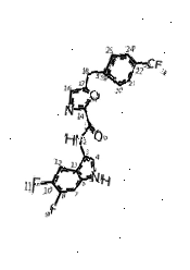 O=C(Nc1c[nH]c2cc(F)c(F)cc12)c1ncc(Cc2ccc(C(F)(F)F)cc2)o1